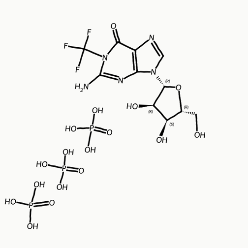 Nc1nc2c(ncn2[C@@H]2O[C@H](CO)[C@@H](O)[C@H]2O)c(=O)n1C(F)(F)F.O=P(O)(O)O.O=P(O)(O)O.O=P(O)(O)O